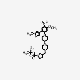 COc1cc(N2CCC(N3CCN(CC4CCN(C(=O)OC(C)(C)C)C4)CC3)CC2)c(-c2cnn(C)c2)cc1[N+](=O)[O-]